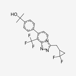 CC(C)(O)c1ccc(-c2ccn3c(CC4CC4(F)F)nnc3c2C(F)(F)F)cc1